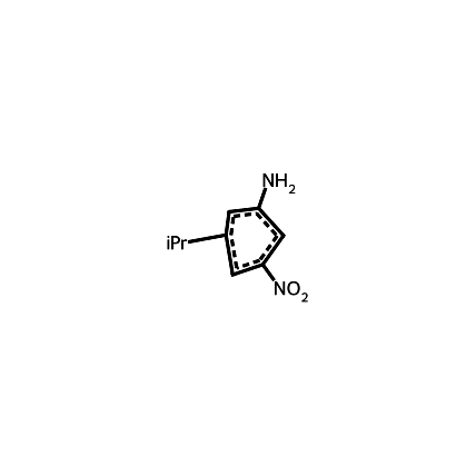 CC(C)c1cc(N)cc([N+](=O)[O-])c1